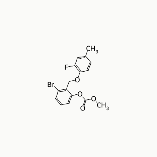 COC(=O)Oc1cccc(Br)c1COc1ccc(C)cc1F